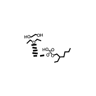 C=C.C=C.C=C.C=C.C=C.C=C.CCCCC(CC)COS(=O)(=O)O.CCOCC.OCCO